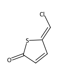 O=C1C=C/C(=C/Cl)S1